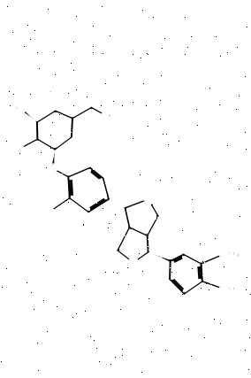 COc1ccc([C@H]2OCC3C2CO[C@H]3c2ccc(O[C@@H]3CC(CO)[C@@H](O)[C@H](O)C3O)c(C)c2)cc1OC